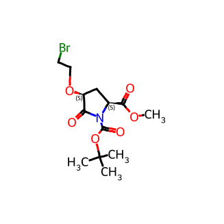 COC(=O)[C@@H]1C[C@H](OCCBr)C(=O)N1C(=O)OC(C)(C)C